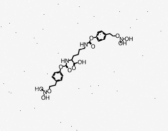 O=C(NCCCCC(NC(=O)Oc1ccc(CCON(O)O)cc1)C(=O)O)Oc1ccc(CCON(O)O)cc1